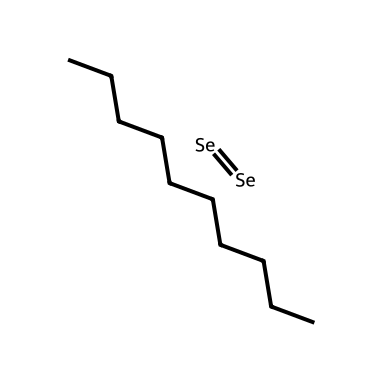 CCCCCCCCCC.[Se]=[Se]